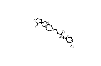 CC1(CN2CCN(CCC(=O)Nc3cc(Cl)ncn3)CC2)CCOC1=O